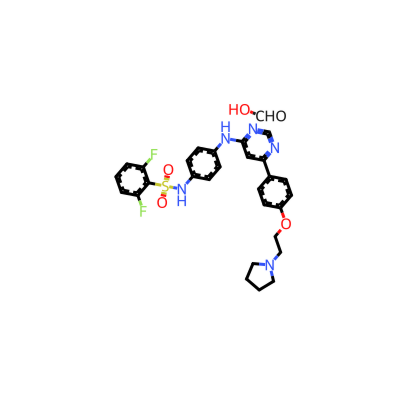 O=CO.O=S(=O)(Nc1ccc(Nc2cc(-c3ccc(OCCN4CCCC4)cc3)ncn2)cc1)c1c(F)cccc1F